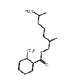 CC(CCCC(C)C(=O)O)COC(=O)C1CCCCC1C(=O)O